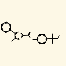 CC(C)(C)CC(C)(C)c1ccc(OC(=O)c2nc(Cl)c(-c3ccccc3)o2)cc1